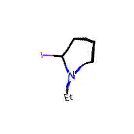 CCN1CCCC1I